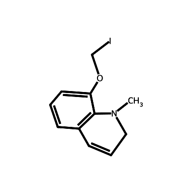 CN1CC=Cc2cccc(OCI)c21